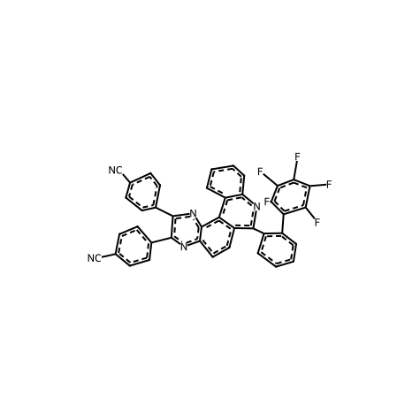 N#Cc1ccc(-c2nc3ccc4c(-c5ccccc5-c5c(F)c(F)c(F)c(F)c5F)nc5ccccc5c4c3nc2-c2ccc(C#N)cc2)cc1